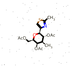 CC(=O)OC[C@H]1O[C@@H](c2csc(C)n2)[C@H](OC(C)=O)[C@@H](C)[C@H]1OC(C)=O